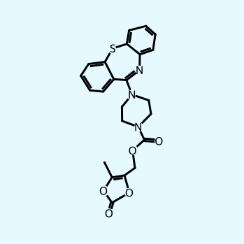 Cc1oc(=O)oc1COC(=O)N1CCN(C2=Nc3ccccc3Sc3ccccc32)CC1